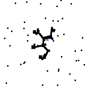 C/C(=N\C(C)C)N(C[SiH3])C(C)C